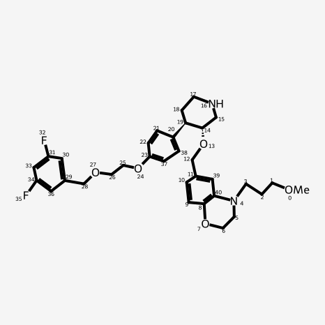 COCCCN1CCOc2ccc(CO[C@H]3CNCC[C@@H]3c3ccc(OCCOCc4cc(F)cc(F)c4)cc3)cc21